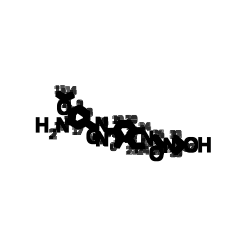 Cc1c(-c2noc(-c3ccc(OC(C)C)c(N)c3)n2)ccc2c1CCN(CC(=O)N1CC(O)C1)C2